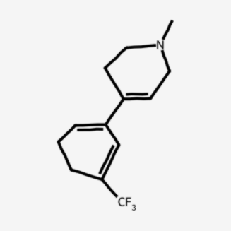 CN1CC=C(C2=CCCC(C(F)(F)F)=C2)CC1